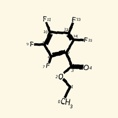 CCOC(=O)c1c(F)c(F)c(F)c(F)c1F